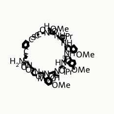 COc1ccc(C[C@@H]2NC(=O)[C@H](Cc3ccc(OC)cc3)NC(=O)[C@H](CC(C)C)NC(=O)[C@H]([C@@H](C)OC)NC(=O)CCSCc3cccc(c3)CSC[C@@H](C(N)=O)NC(=O)[C@]3(C)CCCN3C(=O)[C@H](Cc3ccc(OC)cc3)NC(=O)[C@H]([C@@H](C)OC)NC(=O)[C@H](CC(C)C)NC2=O)cc1